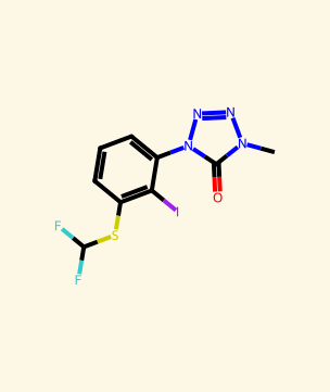 Cn1nnn(-c2cccc(SC(F)F)c2I)c1=O